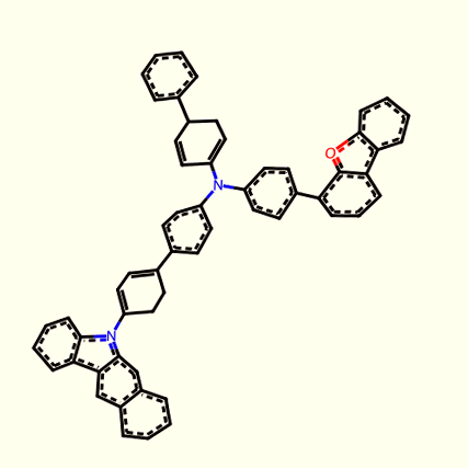 C1=CC(c2ccccc2)CC=C1N(c1ccc(C2=CC=C(n3c4ccccc4c4cc5ccccc5cc43)CC2)cc1)c1ccc(-c2cccc3c2oc2ccccc23)cc1